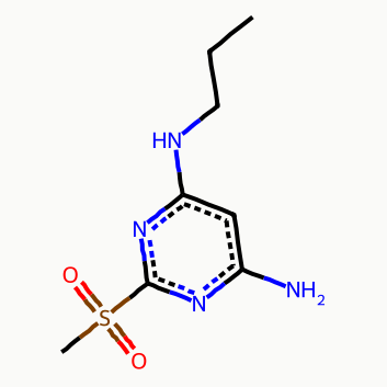 CCCNc1cc(N)nc(S(C)(=O)=O)n1